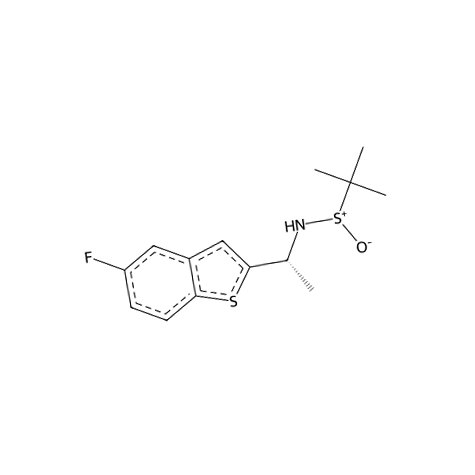 C[C@@H](N[S+]([O-])C(C)(C)C)c1cc2cc(F)ccc2s1